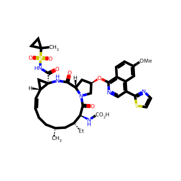 CC[C@@H]1C[C@H](C)CC/C=C\[C@@H]2C[C@@]2(C(=O)NS(=O)(=O)C2(C)CC2)NC(=O)[C@@H]2C[C@@H](Oc3ncc(-c4nccs4)c4cc(OC)ccc34)CN2C(=O)[C@H]1NC(=O)O